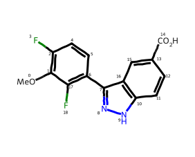 COc1c(F)ccc(-c2n[nH]c3ccc(C(=O)O)cc23)c1F